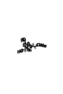 COCCOO[C@@H]1C(O)O[C@H](CO)[C@H]1O